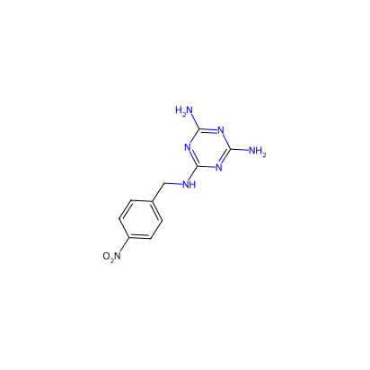 Nc1nc(N)nc(NCc2ccc([N+](=O)[O-])cc2)n1